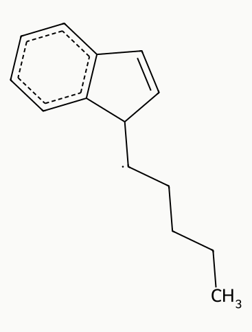 CCCC[CH]C1C=Cc2ccccc21